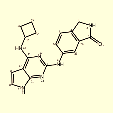 O=C1NCc2ccc(Nc3nc(NC4CCC4)c4cc[nH]c4n3)cc21